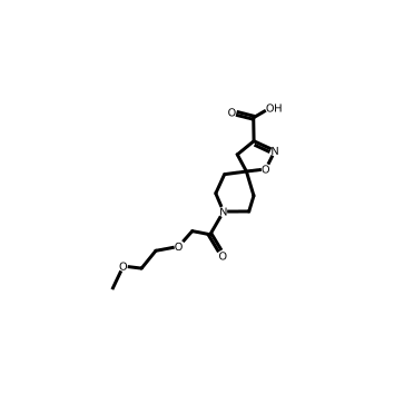 COCCOCC(=O)N1CCC2(CC1)CC(C(=O)O)=NO2